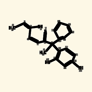 C/C=C(S)\C=C/C(=S)C(C)(c1ccccc1)c1ccc(S)cc1S